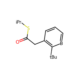 CC(C)SC(=O)Cc1cccbc1C(C)(C)C